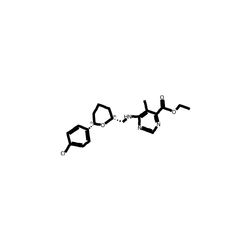 CCOC(=O)c1ncnc(NC[C@H]2CCC[C@@H](c3ccc(Cl)cc3)O2)c1C